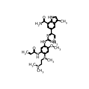 C=CC(=O)Nc1cc(NC(=N)/N=C(\C=C)c2cc(C(N)=O)c3[nH]cc(C)c3c2)c(OC)cc1N(C)CCN(C)C